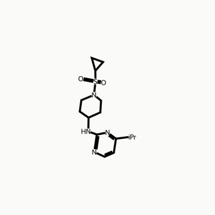 CC(C)c1ccnc(NC2CCN(S(=O)(=O)C3CC3)CC2)n1